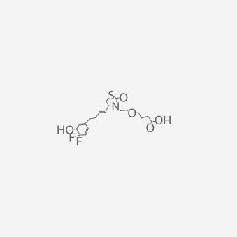 O=C(O)CCCOCCN1C(=O)SCC1C=CCCC1=CC(O)C(F)(F)C=C1